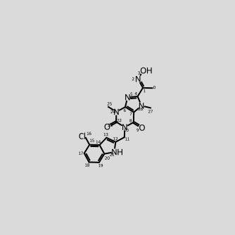 CC(=NO)c1nc2c(c(=O)n(Cc3cc4c(Cl)cccc4[nH]3)c(=O)n2C)n1C